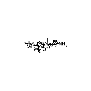 Cc1nnc(SCC2=C(C(=O)O)N3C(=O)C(NC(=O)CSc4nnc(N)s4)[C@@H]3SC2)s1